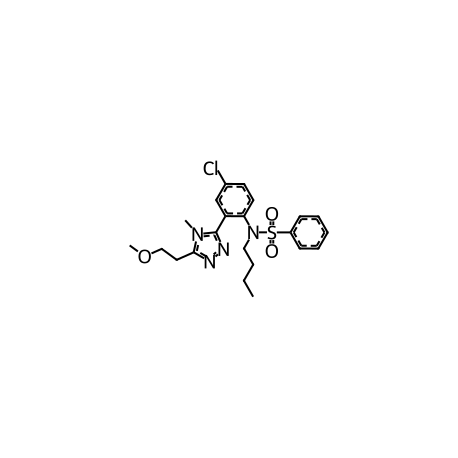 CCCCN(c1ccc(Cl)cc1-c1nnc(CCOC)n1C)S(=O)(=O)c1ccccc1